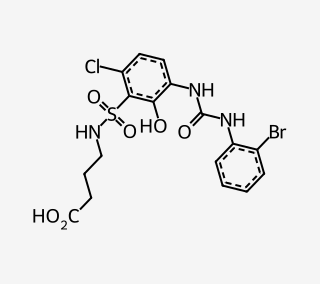 O=C(O)CCCNS(=O)(=O)c1c(Cl)ccc(NC(=O)Nc2ccccc2Br)c1O